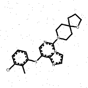 Cc1c(Cl)cccc1Sc1cnc(N2CCC3(CCCO3)CC2)n2ccnc12